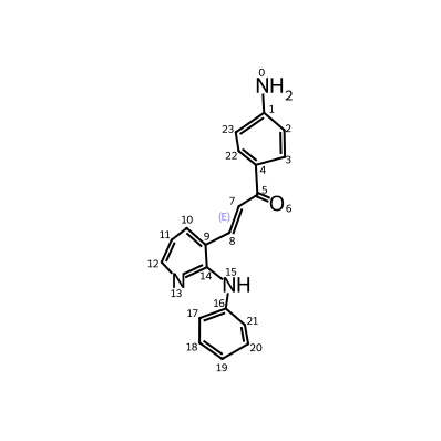 Nc1ccc(C(=O)/C=C/c2cccnc2Nc2ccccc2)cc1